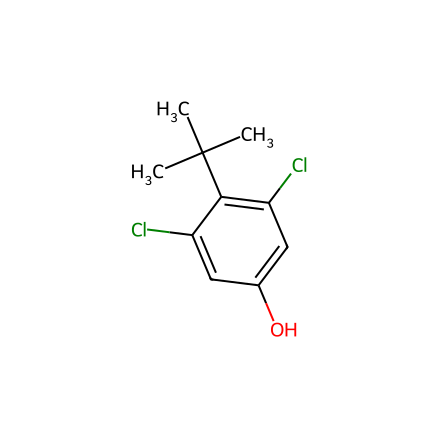 CC(C)(C)c1c(Cl)cc(O)cc1Cl